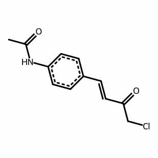 CC(=O)Nc1ccc(/C=C/C(=O)CCl)cc1